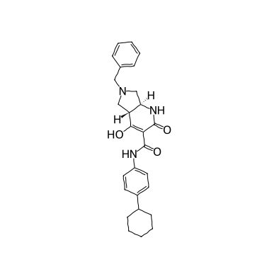 O=C(Nc1ccc(C2CCCCC2)cc1)C1=C(O)[C@@H]2CN(Cc3ccccc3)C[C@H]2NC1=O